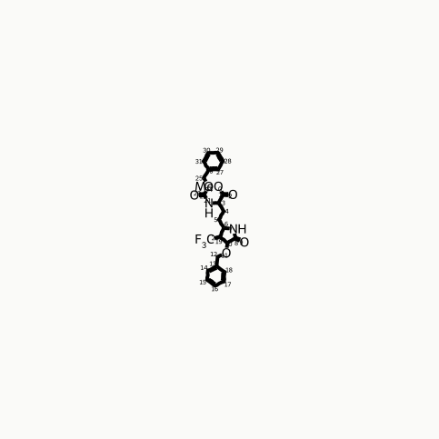 COC(=O)C(CCC1NC(=O)C(OCc2ccccc2)C1C(F)(F)F)NC(=O)OCc1ccccc1